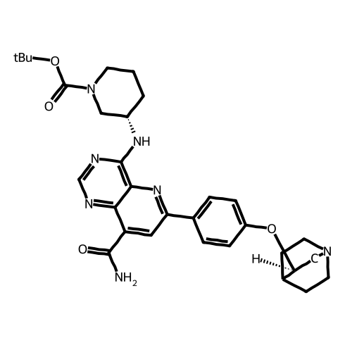 CC(C)(C)OC(=O)N1CCC[C@H](Nc2ncnc3c(C(N)=O)cc(-c4ccc(O[C@H]5CN6CCC5CC6)cc4)nc23)C1